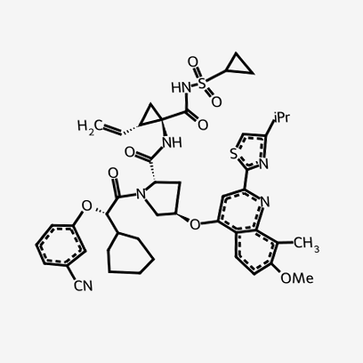 C=C[C@@H]1C[C@]1(NC(=O)[C@@H]1C[C@@H](Oc2cc(-c3nc(C(C)C)cs3)nc3c(C)c(OC)ccc23)CN1C(=O)[C@@H](Oc1cccc(C#N)c1)C1CCCCC1)C(=O)NS(=O)(=O)C1CC1